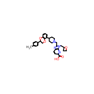 Cc1ccc(C2COc3c(cccc3C3CCN(Cc4nc5ccc(C(=O)O)nc5n4CC4CCO4)CC3)O2)cc1